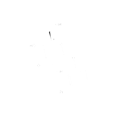 Cc1ccc(C(C)C)cc1OC1O[C@H](CO)[C@@H](O)C(=O)[C@H]1O